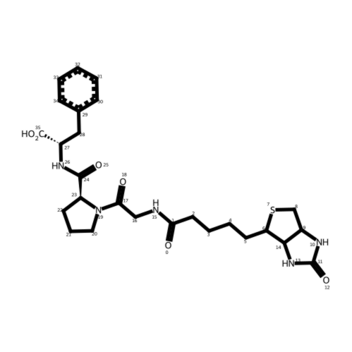 O=C(CCCCC1SCC2NC(=O)NC21)NCC(=O)N1CCC[C@H]1C(=O)N[C@@H](Cc1ccccc1)C(=O)O